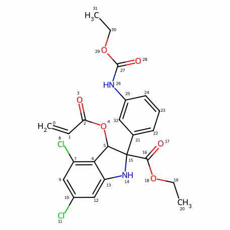 C=CC(=O)OC1c2c(Cl)cc(Cl)cc2NC1(C(=O)OCC)c1cccc(NC(=O)OCC)c1